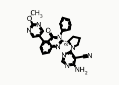 COc1ncc(-c2cccc3nc([C@@H]4CCCN4c4ncnc(N)c4C#N)n(-c4ccccc4)c(=O)c23)cn1